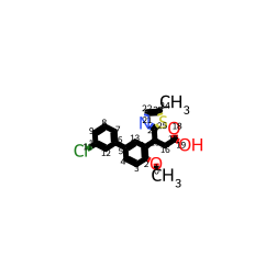 COc1ccc(-c2cccc(Cl)c2)cc1C(CC(=O)O)c1ncc(C)s1